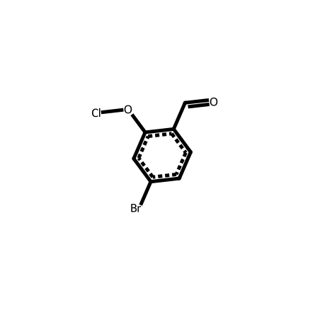 O=Cc1ccc(Br)cc1OCl